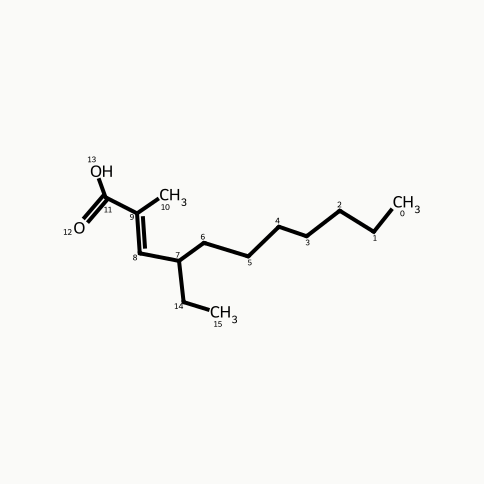 CCCCCCCC(/C=C(\C)C(=O)O)CC